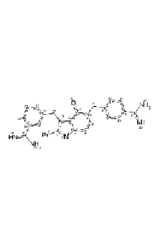 CC(C)c1nc2ccn(Cc3ccc(C(=N)N)cc3)c(=O)c2n1Cc1cccc(C(=N)N)c1